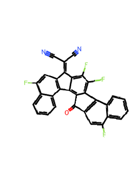 N#CC(C#N)=C1c2cc(F)c3ccccc3c2-c2c1c(F)c(F)c1c2C(=O)c2cc(F)c3ccccc3c2-1